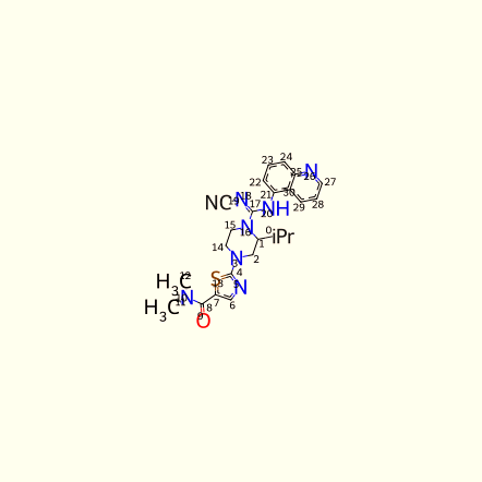 CC(C)C1CN(c2ncc(C(=O)N(C)C)s2)CCN1/C(=N\C#N)Nc1cccc2ncccc12